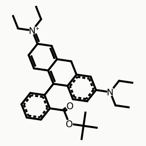 CCN(CC)c1ccc2c(c1)CC1=CC(=[N+](CC)CC)C=CC1=C2c1ccccc1C(=O)OC(C)(C)C